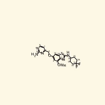 COc1cc(OCc2ccnc(N)n2)cc2sc(NC3CCC(F)(F)CC3)nc12